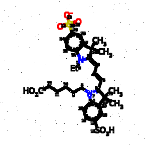 CCN1/C(=C\C=C\C2=[N+](CCCCCC(=O)O)c3ccc(S(=O)(=O)O)cc3C2(C)C)C(C)(C)c2cc(S(=O)(=O)[O-])ccc21